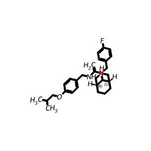 C=C(NCc1ccc(OCC(C)C)cc1)N(Cc1ccc(F)cc1)C1[C@@H]2CCC[C@H]1CNC2